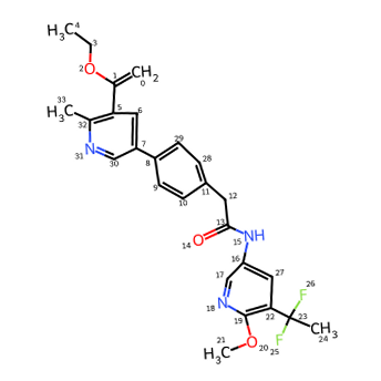 C=C(OCC)c1cc(-c2ccc(CC(=O)Nc3cnc(OC)c(C(C)(F)F)c3)cc2)cnc1C